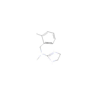 Cc1ccccc1CN(C)C1=NCCN1